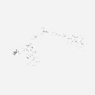 C#Cc1c(F)ccc2cccc(-c3ncc4c(N5CC6CC(C(C)(C)C)C(C5)N6C(=O)O)nc(OC[C@@]56CCCN5[C@H](COC(=O)N5CCC(COC7CN(Cc8cccc9c8n(C)c(=O)n9C8CCC(=O)NC8=O)C7)CC5)CC6)nc4c3F)c12